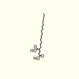 CCCCCCCCCCCCCCCCC(CCC(=O)O)C(=O)O